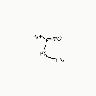 CNC(=O)NOC